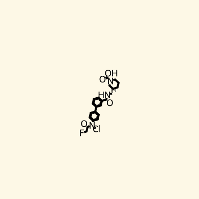 O=C(NC[C@H]1CCCN(C(=O)O)C1)c1cccc(-c2ccc(N(Cl)C(=O)CF)cc2)c1